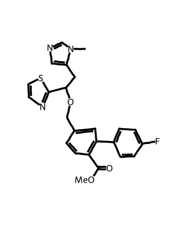 COC(=O)c1ccc(COC(Cc2cncn2C)c2nccs2)cc1-c1ccc(F)cc1